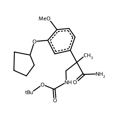 COc1ccc(C(C)(CNC(=O)OC(C)(C)C)C(N)=O)cc1OC1CCCC1